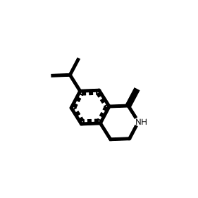 C=C1NCCc2ccc(C(C)C)cc21